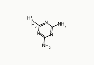 Nc1nc(N)nc(N)n1.[H+]